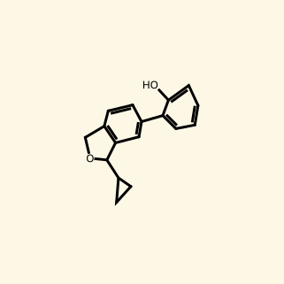 Oc1ccccc1-c1ccc2c(c1)C(C1CC1)OC2